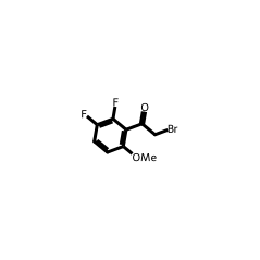 COc1ccc(F)c(F)c1C(=O)CBr